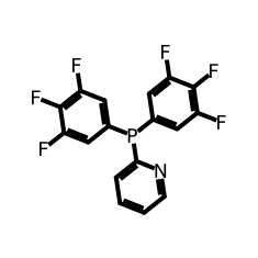 Fc1cc(P(c2cc(F)c(F)c(F)c2)c2ccccn2)cc(F)c1F